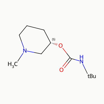 CN1CCC[C@H](OC(=O)NC(C)(C)C)C1